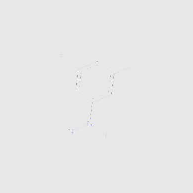 NN(I)c1cc(F)cc(I)c1